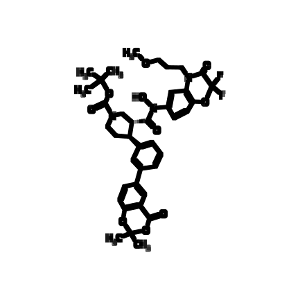 COCCCN1C(=O)C(F)(F)Oc2ccc(N(O)C(=O)[C@H]3CN(C(=O)OC(C)(C)C)CC[C@@H]3c3cccc(-c4ccc5c(c4)C(=O)OC(C)(C)O5)c3)cc21